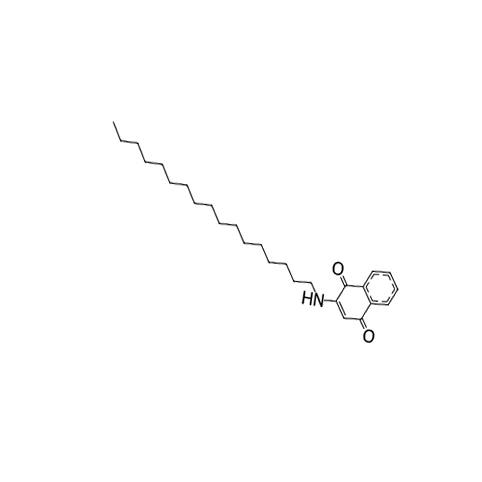 CCCCCCCCCCCCCCCCCNC1=CC(=O)c2ccccc2C1=O